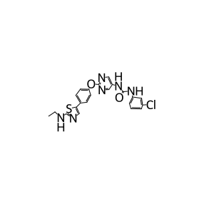 CCNc1ncc(-c2ccc(Oc3ncc(NC(=O)Nc4cccc(Cl)c4)cn3)cc2)s1